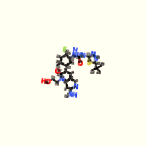 CNc1cc2c(cn1)cc(-c1cc(NC(=O)Nc3nnc(C(C)(C)C)s3)c(F)cc1C)c(=O)n2CCO